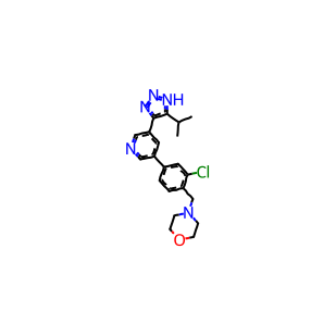 CC(C)c1[nH]nnc1-c1cncc(-c2ccc(CN3CCOCC3)c(Cl)c2)c1